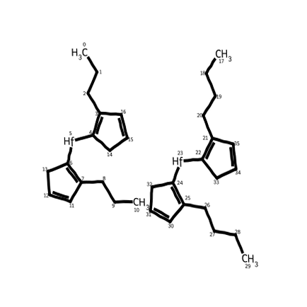 CCCC1=[C]([Hf][C]2=C(CCC)C=CC2)CC=C1.CCCCC1=[C]([Hf][C]2=C(CCCC)C=CC2)CC=C1